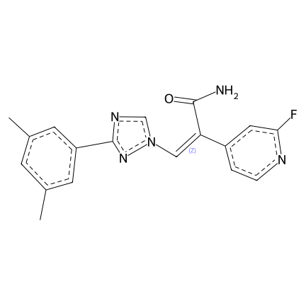 Cc1cc(C)cc(-c2ncn(/C=C(\C(N)=O)c3ccnc(F)c3)n2)c1